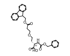 O=C(CCOCC[C@H](NC(=O)OCc1ccccc1)C(=O)O)OCC1c2ccccc2-c2ccccc21